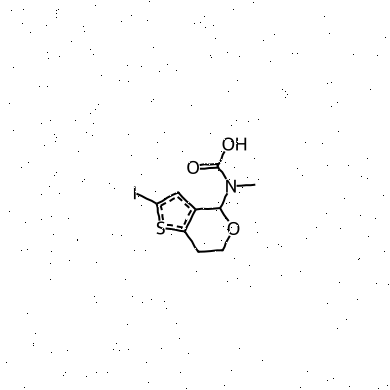 CN(C(=O)O)C1OCCc2sc(I)cc21